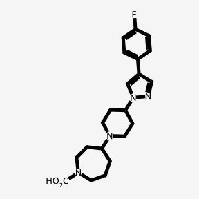 O=C(O)N1CCCC(N2CCC(n3cc(-c4ccc(F)cc4)cn3)CC2)CC1